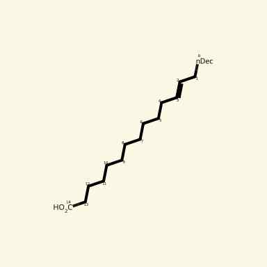 CCCCCCCCCCCC=CCCCCCCCCCCC(=O)O